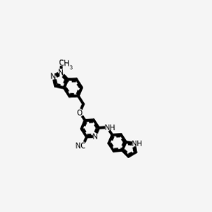 Cn1ncc2cc(COc3cc(C#N)nc(Nc4ccc5cc[nH]c5c4)c3)ccc21